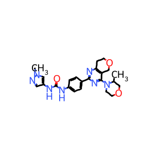 CC1COCCN1c1nc(-c2ccc(NC(=O)Nc3cnn(C)c3)cc2)nc2c1COCC2